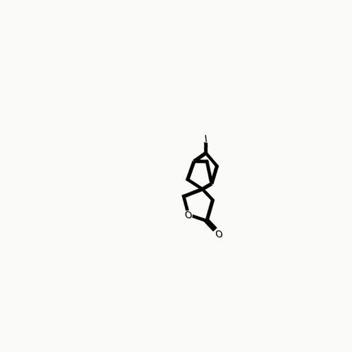 O=C1CC2(CO1)CC1CC2CC1I